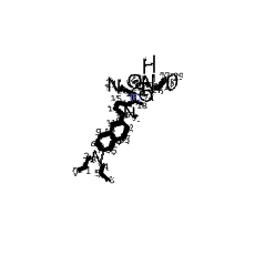 CCCN(CCC)c1ccc2cc(-c3ccc(/C(C)=C(\C#N)S(=O)(=O)NCCOC)n3C)ccc2c1